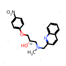 CN(Cc1ccc2ccccc2n1)C[C@H](O)COc1ccc([N+](=O)[O-])cc1